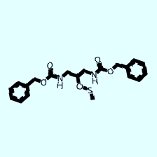 CSOC(CNC(=O)OCc1ccccc1)CNC(=O)OCc1ccccc1